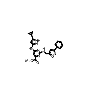 COC(=O)c1cc(Nc2cc(C3CC3)[nH]n2)nc(NCc2cc(-c3ccccc3)no2)n1